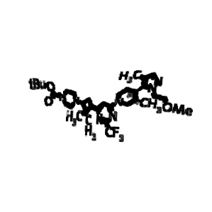 COCCn1ncc(C)c1[C@@H]1CCN(c2cc(C3CC(N4CCN(C(=O)OC(C)(C)C)CC4)C3(C)C)nc(C(F)(F)F)n2)C[C@H]1C